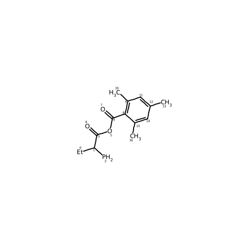 CCC(P)C(=O)OC(=O)c1c(C)cc(C)cc1C